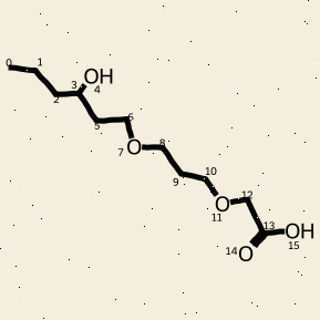 CCCC(O)CCOCCCOCC(=O)O